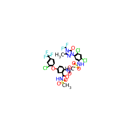 CS(=O)(=O)NC(=O)c1cc(Oc2ccc(C(F)(F)F)cc2Cl)ccc1[N+](=O)[O-].Cc1nn(-c2cc(NS(C)(=O)=O)c(Cl)cc2Cl)c(=O)n1C(F)F